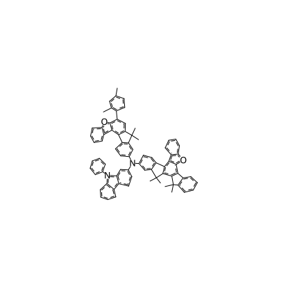 Cc1ccc(-c2cc3c(c4c2oc2ccccc24)-c2ccc(N(c4ccc5c(c4)C(C)(C)c4c6c(c7oc8ccccc8c7c4-5)-c4ccccc4C6(C)C)c4ccc5c6ccccc6n(-c6ccccc6)c5c4)cc2C3(C)C)c(C)c1